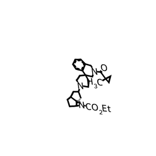 CCOC(=O)N1C2CCC3CC(N4CCC5(CC4)CN(C(=O)C4(C)CC4)Cc4ccccc45)C[C@@]321